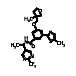 Cc1cnc(-c2cc(OCC3(C)CCOC3)cc(C(=O)NC(C)c3cnc(C(F)(F)F)nc3)c2)s1